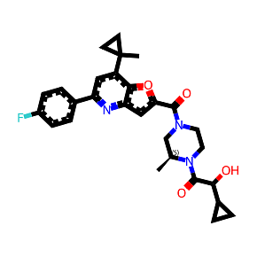 C[C@H]1CN(C(=O)c2cc3nc(-c4ccc(F)cc4)cc(C4(C)CC4)c3o2)CCN1C(=O)C(O)C1CC1